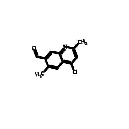 Cc1cc(Cl)c2cc(C)c(C=O)cc2n1